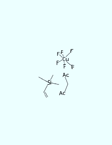 C=C[Si](C)(C)C.CC(=O)CC(C)=O.[F][Cu]([F])([F])([F])([F])[F]